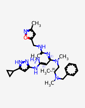 C=C(/N=C(\C=C(/N)Nc1cc(C2CC2)[nH]n1)N(C)C[C@@H](C)N(C)Cc1ccccc1)NCc1cc(C)no1